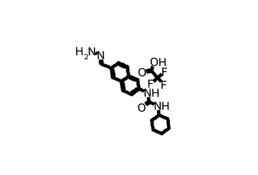 NN=Cc1ccc2cc(NC(=O)NC3CCCCC3)ccc2c1.O=C(O)C(F)(F)F